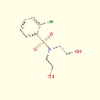 O=S(=O)(c1ccccc1Br)N(CCO)CCO